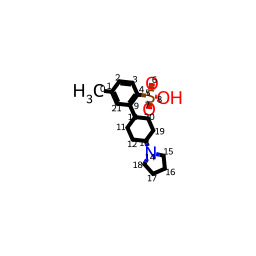 Cc1ccc(S(=O)(=O)O)c(C2CCC(N3CCCC3)CC2)c1